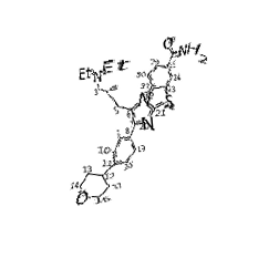 CCN(CC)CCCc1c(-c2ccc(C3CCOCC3)cc2)nc2sc3cc(C(N)=O)ccc3n12